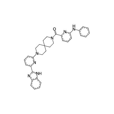 O=C(c1cccc(Nc2ccccc2)n1)N1CCC2(CC1)CCN(c1cccc(-c3nc4ccccc4[nH]3)n1)CC2